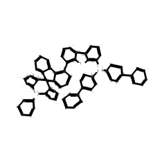 c1ccc(-c2ccc(N(c3ccc(-c4ccccc4)cc3)c3cccc4c3sc3c(-c5cccc6c5-c5ccccc5C65c6ccccc6N(c6ccccc6)c6ccccc65)cccc34)cc2)cc1